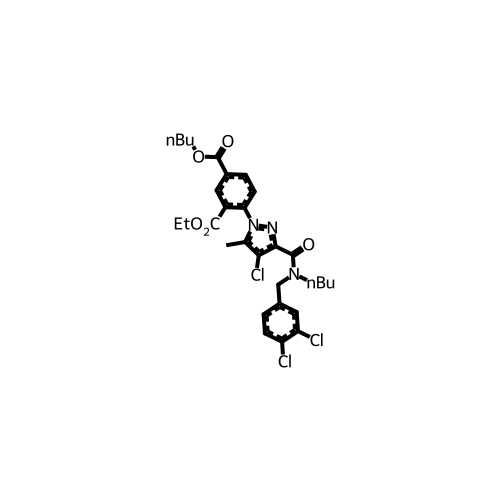 CCCCOC(=O)c1ccc(-n2nc(C(=O)N(CCCC)Cc3ccc(Cl)c(Cl)c3)c(Cl)c2C)c(C(=O)OCC)c1